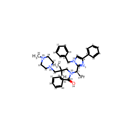 CC(C)[C@H](c1nc(-c2ccccc2)cn1Cc1ccccc1)N(CC(C)(C)CN1CCN(C)CC1)C(=O)c1ccccc1